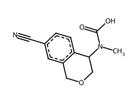 CN(C(=O)O)C1COCc2cc(C#N)ccc21